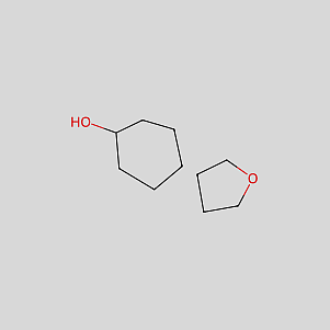 C1CCOC1.OC1CCCCC1